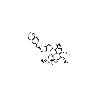 Cc1nc(C)c(C(OC(C)(C)C)C(=O)O)c(N2CCC(C)(C)CC2)c1-c1ccc2c(c1)CCN(Cc1ccc3c(c1)CCCO3)C2